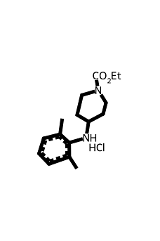 CCOC(=O)N1CCC(Nc2c(C)cccc2C)CC1.Cl